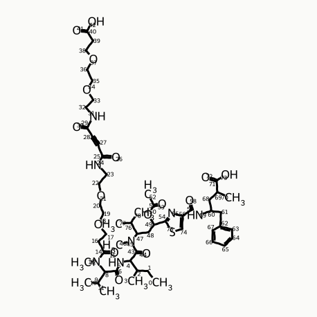 CCC(C)C(NC(=O)C(C(C)C)N(C)C(=O)CCOCCOCCNC(=O)C#CC(=O)NCCOCCOCCC(=O)O)C(=O)N(C)C(CC(OC(C)=O)c1nc(C(=O)NC(Cc2ccccc2)CC(C)C(=O)O)cs1)C(C)C